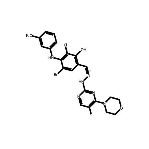 Oc1c(/C=N\Nc2ncc(F)c(N3CCOCC3)n2)cc(Br)c(Nc2cccc(C(F)(F)F)c2)c1Cl